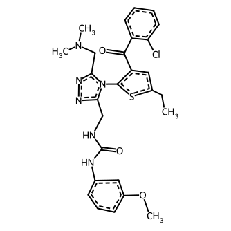 CCc1cc(C(=O)c2ccccc2Cl)c(-n2c(CNC(=O)Nc3cccc(OC)c3)nnc2CN(C)C)s1